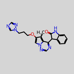 Cc1c(OCCCn2cncn2)cn2ncnc(C3C(=O)Nc4ccccc43)c12